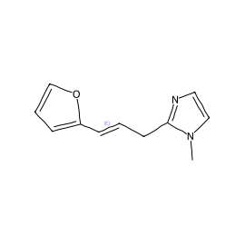 Cn1ccnc1C/C=C/c1ccco1